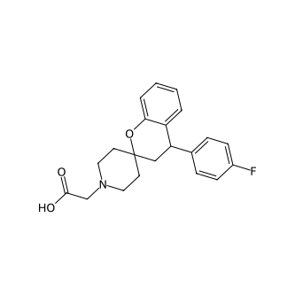 O=C(O)CN1CCC2(CC1)CC(c1ccc(F)cc1)c1ccccc1O2